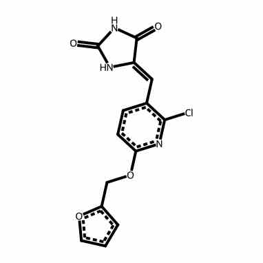 O=C1NC(=O)/C(=C/c2ccc(OCc3ccco3)nc2Cl)N1